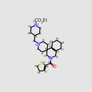 CCOC(=O)N1CCC(CN2CCC3(CC2)CN(C(=O)C2=CCCS2)CC2=C3CCCC2)CC1